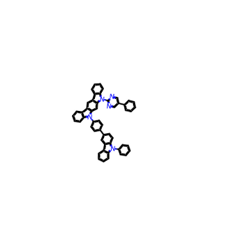 c1ccc(-c2cnc(-n3c4ccccc4c4cc5c6ccccc6n(-c6ccc(-c7ccc8c(c7)c7ccccc7n8-c7ccccc7)cc6)c5cc43)nc2)cc1